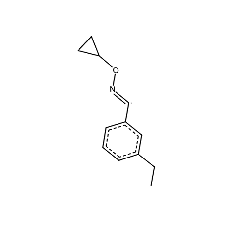 CCc1cccc(/[C]=N/OC2CC2)c1